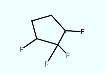 F[C]1CCC(F)C1(F)F